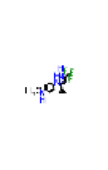 CNC1=CCC(N/C(=C\C(=N)C(F)(F)F)C2CC2)C=C1